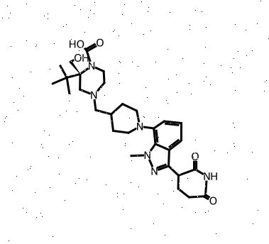 Cn1nc(C2CCC(=O)NC2=O)c2cccc(N3CCC(CN4CCN(C(=O)O)[C@@](CO)(C(C)(C)C)C4)CC3)c21